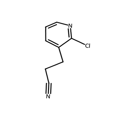 N#CCCc1cccnc1Cl